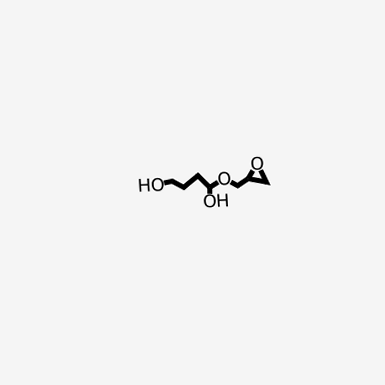 OCCCC(O)OCC1CO1